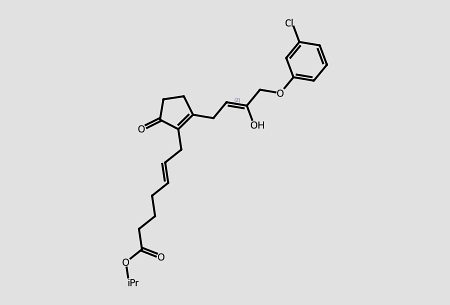 CC(C)OC(=O)CCCC=CCC1=C(C/C=C(\O)COc2cccc(Cl)c2)CCC1=O